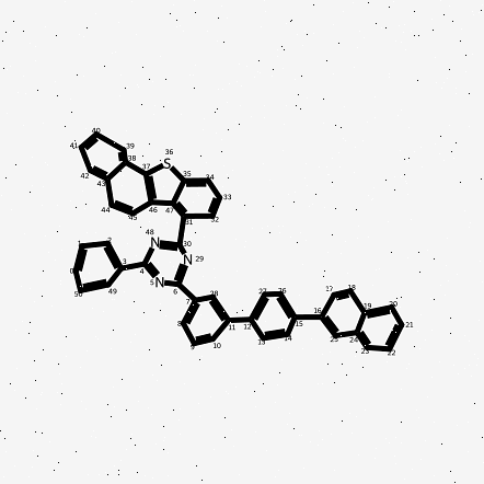 c1ccc(-c2nc(-c3cccc(-c4ccc(-c5ccc6ccccc6c5)cc4)c3)nc(-c3cccc4sc5c6ccccc6ccc5c34)n2)cc1